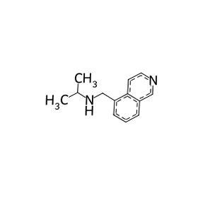 CC(C)NCc1cccc2cnccc12